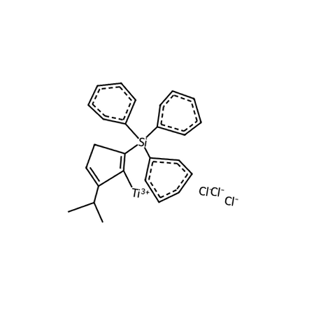 CC(C)C1=CCC([Si](c2ccccc2)(c2ccccc2)c2ccccc2)=[C]1[Ti+3].[Cl-].[Cl-].[Cl-]